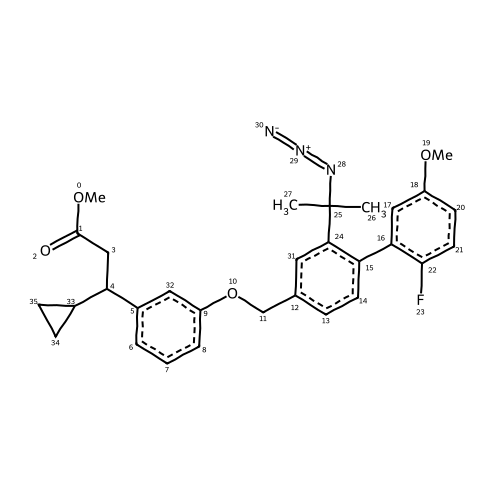 COC(=O)CC(c1cccc(OCc2ccc(-c3cc(OC)ccc3F)c(C(C)(C)N=[N+]=[N-])c2)c1)C1CC1